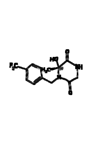 C[C@@]1(O)C(=O)NCC(=O)N1Cc1ccc(C(F)(F)F)cc1